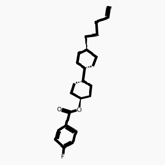 C=CCCC[C@H]1CC[C@H]([C@H]2CC[C@H](OC(=O)c3ccc(F)cc3)CC2)CC1